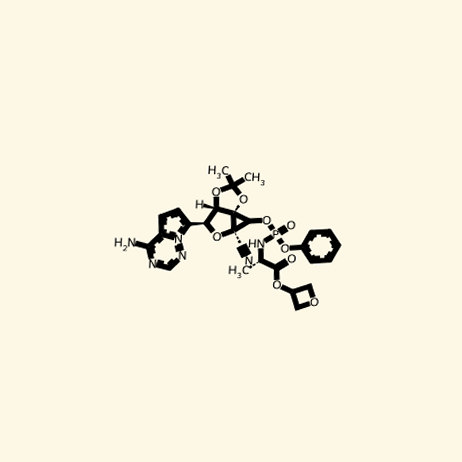 C[C@H](NP(=O)(Oc1ccccc1)OC1[C@@]2(C#N)O[C@@H](c3ccc4c(N)ncnn34)[C@@H]3OC(C)(C)O[C@@]132)C(=O)OC1COC1